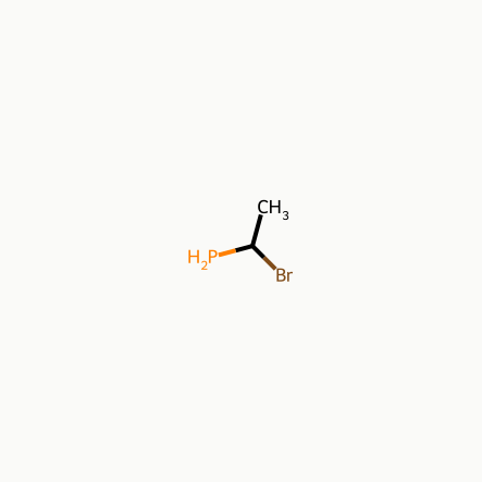 CC(P)Br